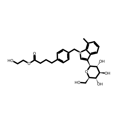 Cc1cccc2c([C@@H]3O[C@H](CO)[C@@H](O)[C@H](O)[C@H]3O)cn(Cc3ccc(CCCC(=O)OCCO)cc3)c12